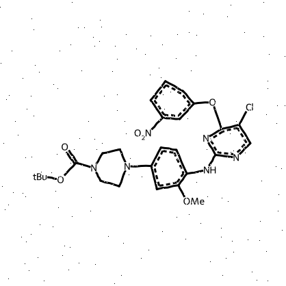 COc1cc(N2CCN(C(=O)OC(C)(C)C)CC2)ccc1Nc1ncc(Cl)c(Oc2cccc([N+](=O)[O-])c2)n1